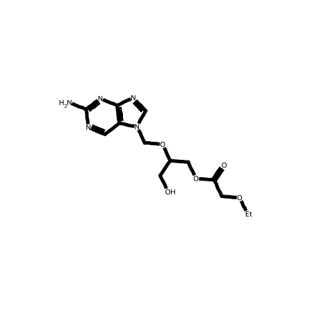 CCOCC(=O)OCC(CO)OCn1cnc2nc(N)ncc21